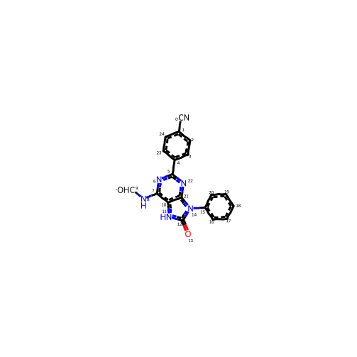 N#Cc1ccc(-c2nc(N[C]=O)c3[nH]c(=O)n(-c4ccccc4)c3n2)cc1